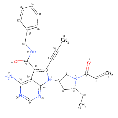 C=CC(=O)N1CC(n2c(C#CC)c(C(=O)NCc3ccccc3)c3c(N)ncnc32)CC1CC